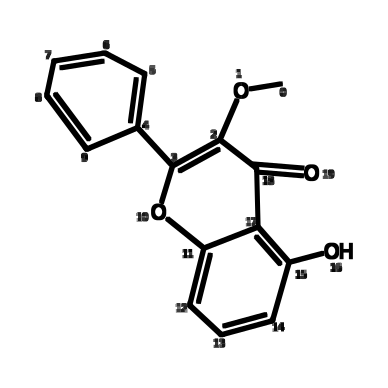 COc1c(-c2ccccc2)oc2cccc(O)c2c1=O